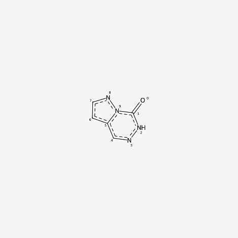 O=c1[nH]ncc2ccnn12